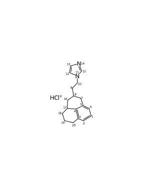 Cl.c1cc2c3c(c1)CC(CCn1ccnc1)CC3CCC2